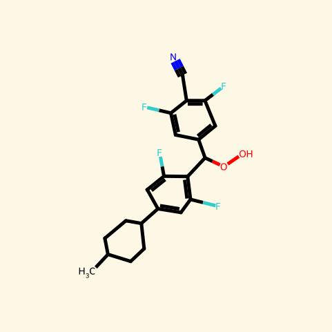 CC1CCC(c2cc(F)c(C(OO)c3cc(F)c(C#N)c(F)c3)c(F)c2)CC1